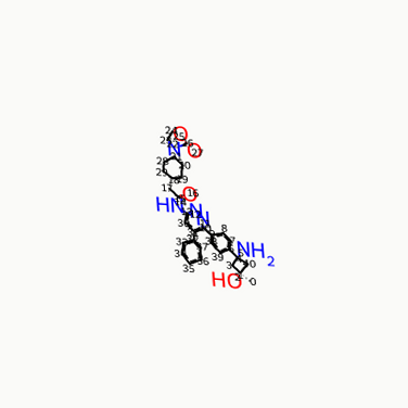 C[C@]1(O)C[C@@](N)(c2ccc(-c3nnc(NC(=O)C[C@H]4CC[C@H](N5CCOC5=O)CC4)cc3-c3ccccc3)cc2)C1